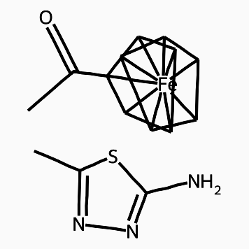 CC(=O)[C]12[CH]3[CH]4[CH]5[CH]1[Fe]45321678[CH]2[CH]1[CH]6[CH]7[CH]28.Cc1nnc(N)s1